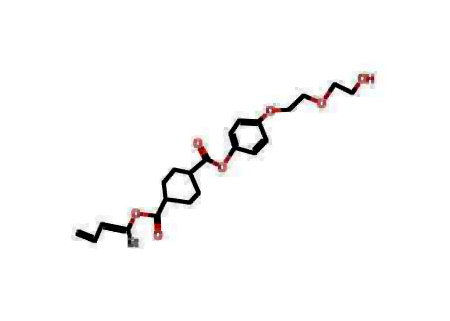 C=C/C=C(\CC)OC(=O)C1CCC(C(=O)Oc2ccc(OCCOCCO)cc2)CC1